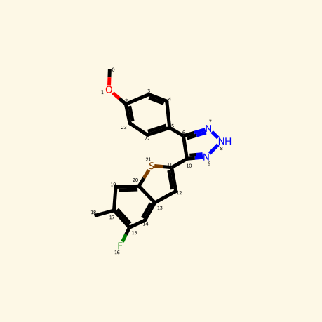 COc1ccc(-c2n[nH]nc2-c2cc3cc(F)c(C)cc3s2)cc1